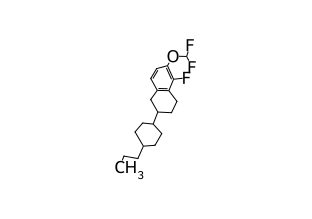 CCCC1CCC(C2CCc3c(ccc(OC(F)F)c3F)C2)CC1